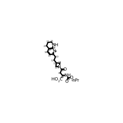 CCCOC(=O)N[C@@H](CC(=O)N1CC(CCc2ccc3c(n2)NCCC3)C1)C(=O)O